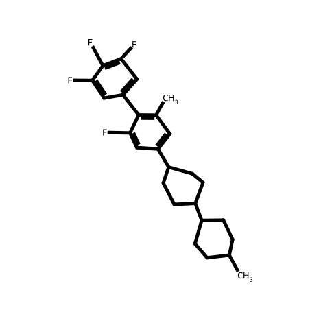 Cc1cc(C2CCC(C3CCC(C)CC3)CC2)cc(F)c1-c1cc(F)c(F)c(F)c1